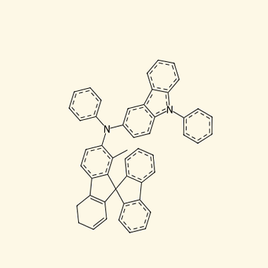 Cc1c(N(c2ccccc2)c2ccc3c(c2)c2ccccc2n3-c2ccccc2)ccc2c1C1(C3=C2CCC=C3)c2ccccc2-c2ccccc21